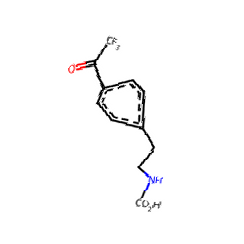 O=C(O)NCCc1ccc(C(=O)C(F)(F)F)cc1